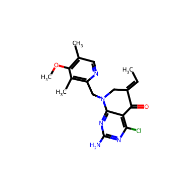 C/C=C1\CN(Cc2ncc(C)c(OC)c2C)c2nc(N)nc(Cl)c2C1=O